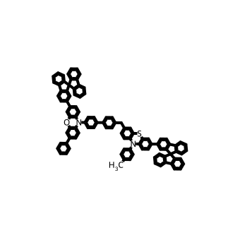 Cc1ccc(N2c3ccc(Cc4ccc(-c5ccc(N6c7ccc(-c8ccccc8)cc7Oc7cc(-c8ccc9c(c8)C8(c%10ccccc%10-c%10ccccc%108)c8ccccc8-9)ccc76)cc5)cc4)cc3Sc3cc(-c4ccc5c(c4)C4(c6ccccc6-c6ccccc64)c4ccccc4-5)ccc32)cc1